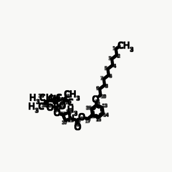 CCCCCCCCCCCOc1cccc(COC(=O)N2CC(OP(=O)(OC(C)(C)C)OC(C)(C)C)C2)c1